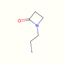 O=C1CCN1CCI